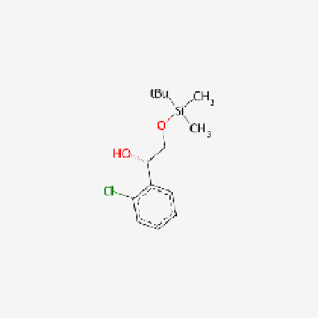 CC(C)(C)[Si](C)(C)OC[C@@H](O)c1ccccc1Cl